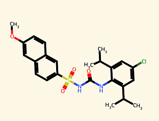 COc1ccc2cc(S(=O)(=O)NC(=O)Nc3c(C(C)C)cc(Cl)cc3C(C)C)ccc2c1